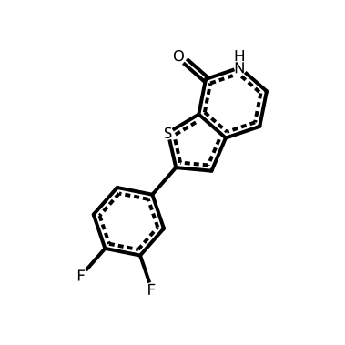 O=c1[nH]ccc2cc(-c3ccc(F)c(F)c3)sc12